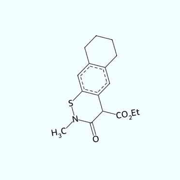 CCOC(=O)C1C(=O)N(C)Sc2cc3c(cc21)CCCC3